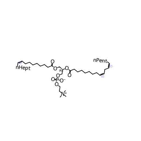 CCCCC/C=C\C/C=C\CCCCCCCC(=O)O[C@H](COC(=O)CCCCCCC/C=C\CCCCCCC)COP(=O)([O-])OCC[N+](C)(C)C